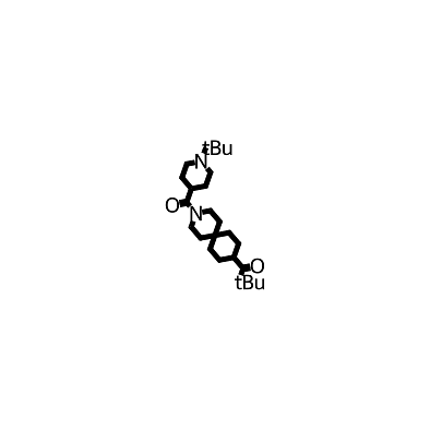 CC(C)(C)C(=O)C1CCC2(CC1)CCN(C(=O)C1CCN(C(C)(C)C)CC1)CC2